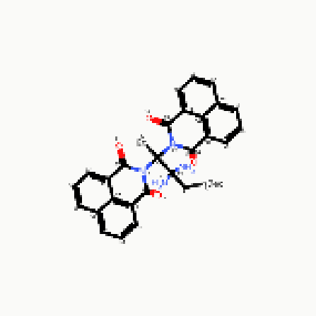 CCCCCCCCCCCC(N)(N)C(CC)(N1C(=O)c2cccc3cccc(c23)C1=O)N1C(=O)c2cccc3cccc(c23)C1=O